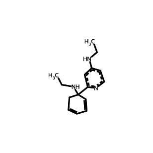 CCNc1ccnc(C2(NCC)C=CC=CC2)c1